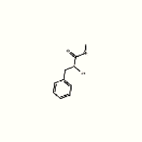 CNC(=O)N(S)Cc1ccccc1